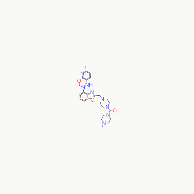 Cc1ccc(NN(C=O)c2cccc3oc(CN4CCN(C(=O)N5CCN(C)CC5)CC4)nc23)cn1